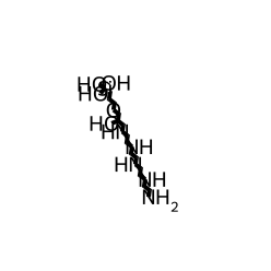 NCCNCCNCCNCCNCC(O)COCCC[Si](O)(O)O